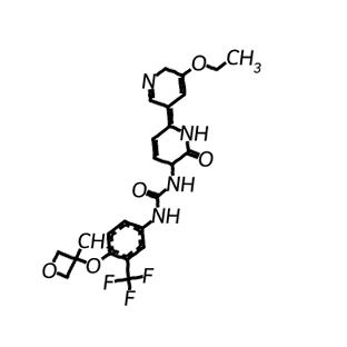 CCOC1=CC(=C2C=CC(NC(=O)Nc3ccc(OC4(C)COC4)c(C(F)(F)F)c3)C(=O)N2)C=NC1